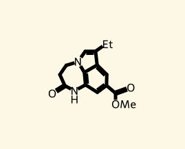 CCc1cn2c3c(cc(C(=O)OC)cc13)NC(=O)CC2